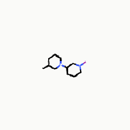 CC1CCCN(C2CCCN(I)C2)C1